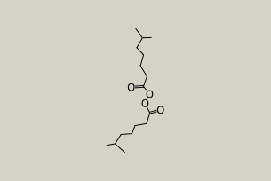 CC(C)CCCCC(=O)OOC(=O)CCCCC(C)C